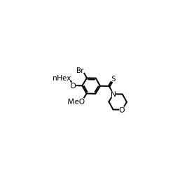 CCCCCCOc1c(Br)cc(C(=S)N2CCOCC2)cc1OC